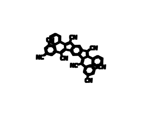 N#CC1=C(C2=CC=CCC2)/C(=C(/C#N)c2cc(C#N)cc(C#N)c2)c2cc3c(cc21)C(C#N)=C(c1ccccc1)/C3=C(/C#N)c1cc(C#N)cc(C#N)c1